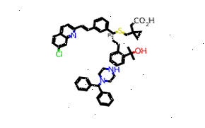 CC(C)(O)c1ccccc1CC[C@@H](SCC1(CC(=O)O)CC1)c1cccc(C=Cc2ccc3ccc(Cl)cc3n2)c1.c1ccc(C(c2ccccc2)N2CCNCC2)cc1